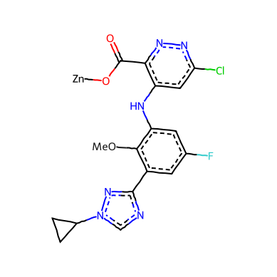 COc1c(Nc2cc(Cl)nnc2C(=O)[O][Zn])cc(F)cc1-c1ncn(C2CC2)n1